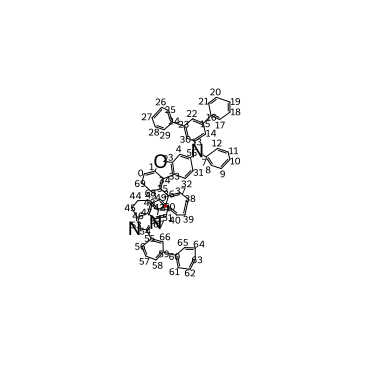 C1=c2oc3cc(N(c4ccccc4)c4cc(-c5ccccc5)cc(-c5ccccc5)c4)ccc3c2=C(c2ccccc2C2=C/CC/C(c3ccccc3)=N/C(c3cccc(-c4ccccc4)c3)=N\2)CC1